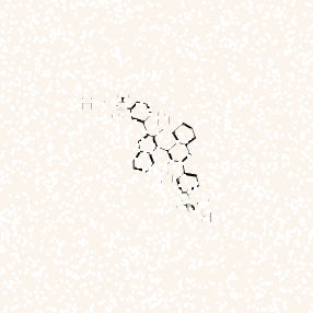 CS(=O)(=O)c1ccc(-c2cc3ccccc3c(-c3c(CBr)c(-c4cccc(S(C)(=O)=O)c4)cc4ccccc34)c2CBr)cc1